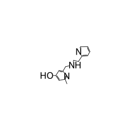 Cc1cc(O)cc(CNCCc2ccccn2)n1